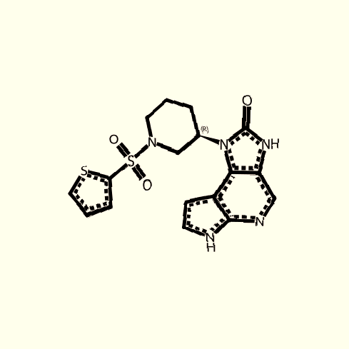 O=c1[nH]c2cnc3[nH]ccc3c2n1[C@@H]1CCCN(S(=O)(=O)c2cccs2)C1